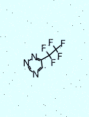 FC(F)(F)C(F)(F)c1[c]ncnn1